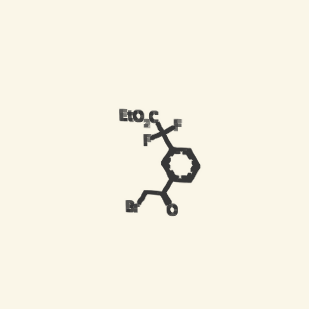 CCOC(=O)C(F)(F)c1cccc(C(=O)CBr)c1